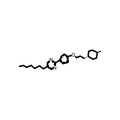 CCCCCCCc1cnc(-c2ccc(OCCC[C@H]3CC[C@H](C)CC3)cc2)nc1